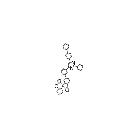 c1ccc(-c2ccc(-c3cc(-c4cccc(-c5ccc6c(c5)C5(c7ccccc7Oc7ccccc75)c5ccccc5-6)c4)nc(-c4ccccc4)n3)cc2)cc1